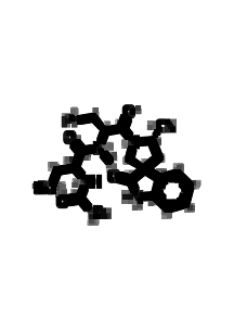 CC(C)C[C@@H](C(=O)N1C[C@]2(C[C@H]1C#N)C(=O)Nc1ccccc12)N(C)C(=O)C(CC(C)(C)C)NC(=O)C(C)(C)C